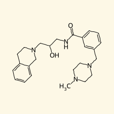 CN1CCN(Cc2cccc(C(=O)NCC(O)CN3CCc4ccccc4C3)c2)CC1